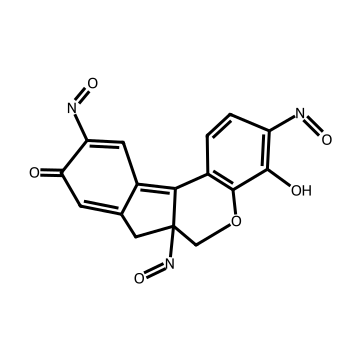 O=NC1=CC2=C3c4ccc(N=O)c(O)c4OCC3(N=O)CC2=CC1=O